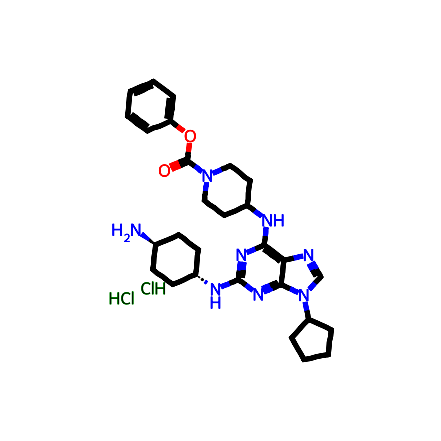 Cl.Cl.N[C@H]1CC[C@H](Nc2nc(NC3CCN(C(=O)Oc4ccccc4)CC3)c3ncn(C4CCCC4)c3n2)CC1